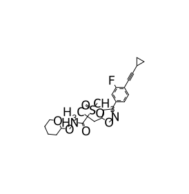 CC(CC1CC(c2ccc(C#CC3CC3)c(F)c2)=NO1)(C(=O)NOC1CCCCO1)S(C)(=O)=O